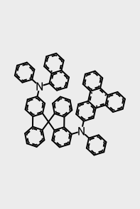 c1ccc(N(c2ccc3c4ccccc4c4ccccc4c3c2)c2cccc3c2-c2ccccc2C32c3ccccc3-c3ccc(N(c4ccccc4)c4cccc5ccccc45)cc32)cc1